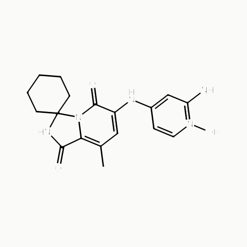 Cc1cc(Nc2cc[n+](O)c(N)c2)c(=O)n2c1C(=O)NC21CCCCC1